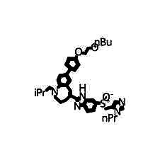 CCCCOCCOc1ccc(-c2ccc3c(c2)/C=C(/c2nc4ccc([S@@+]([O-])Cc5cncn5CCC)cc4[nH]2)CCCN3CC(C)C)cc1